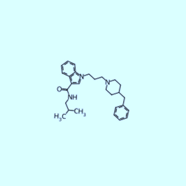 CC(C)CNC(=O)c1cn(CCCN2CCC(Cc3ccccc3)CC2)c2ccccc12